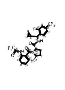 CC[C@@H]1CC[C@H](C(=O)NC(c2ccc(C(F)(F)F)cc2F)C2CC2)N1C(=O)c1ccccc1NC(=O)C(F)(F)F